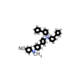 CN(c1ccc(C#N)cc1)c1ccc(-c2ccc(N(c3cccc(-c4ccccc4)c3)c3cccc(-c4ccccc4)c3)cc2)cc1